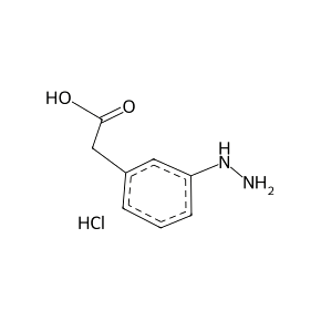 Cl.NNc1cccc(CC(=O)O)c1